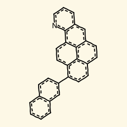 c1ccc2cc(-c3ccc4ccc5cc6cccnc6c6ccc3c4c56)ccc2c1